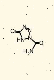 NC(=O)n1nnc(=O)[nH]1